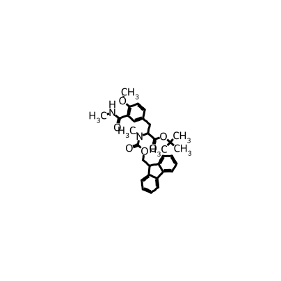 CNC(=O)c1cc(CC(C(=O)OC(C)(C)C)N(C)C(=O)OCC2c3ccccc3-c3ccccc32)ccc1OC